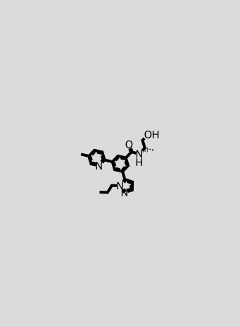 CCCn1nccc1-c1cc(C(=O)N[C@@H](C)CO)cc(-c2ccc(C)cn2)c1